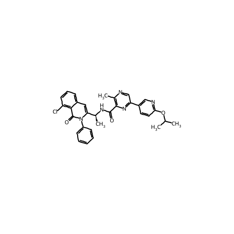 Cc1ncc(-c2ccc(OC(C)C)nc2)nc1C(=O)N[C@@H](C)c1cc2cccc(Cl)c2c(=O)n1-c1ccccc1